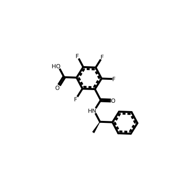 C[C@@H](NC(=O)c1c(F)c(F)c(F)c(C(=O)O)c1F)c1ccccc1